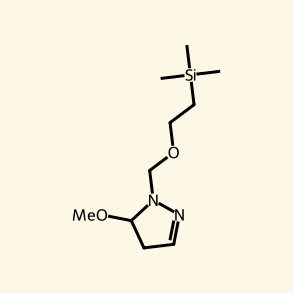 COC1CC=NN1COCC[Si](C)(C)C